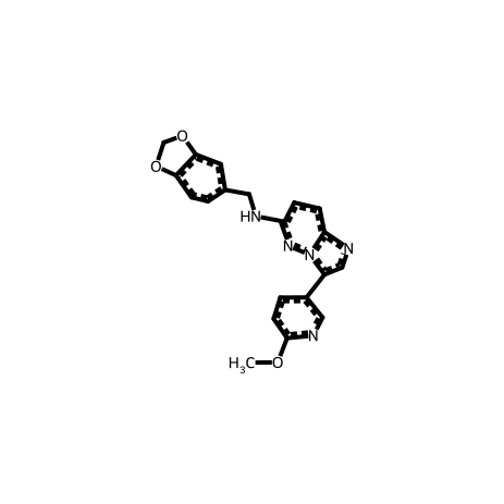 COc1ccc(-c2cnc3ccc(NCc4ccc5c(c4)OCO5)nn23)cn1